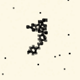 O=C1OC2CC(NS(=O)(=O)c3ccc(OCCc4ccc(F)cc4)cc3)(C(=O)NO)CC2O1